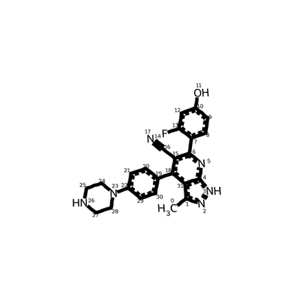 Cc1n[nH]c2nc(-c3ccc(O)cc3F)c(C#N)c(-c3ccc(N4CCNCC4)cc3)c12